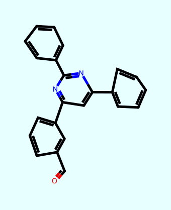 O=Cc1cccc(-c2cc(-c3ccccc3)nc(-c3ccccc3)n2)c1